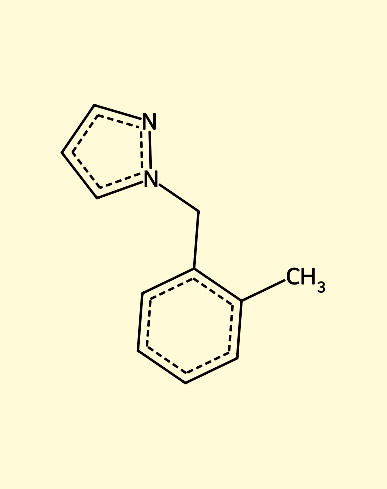 Cc1ccccc1Cn1cccn1